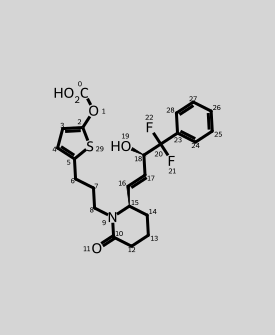 O=C(O)Oc1ccc(CCCN2C(=O)CCC[C@@H]2/C=C/[C@@H](O)C(F)(F)c2ccccc2)s1